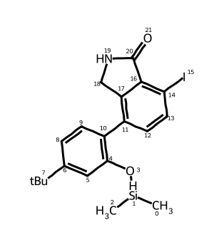 C[SiH](C)Oc1cc(C(C)(C)C)ccc1-c1ccc(I)c2c1CNC2=O